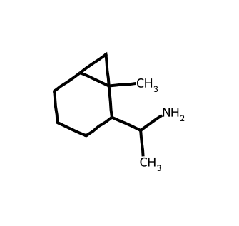 CC(N)C1CCCC2CC21C